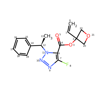 C=CC1(OC(=O)c2c(F)nnn2[C@H](C)c2ccccc2)COC1